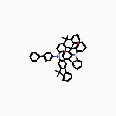 CC1(C)c2ccccc2-c2ccc(N(c3ccc(-c4ccccc4)cc3)c3ccc4c(c3)C3(c5ccccc5-n5c6ccccc6c6cccc3c65)c3ccccc3C4(C)C)cc21